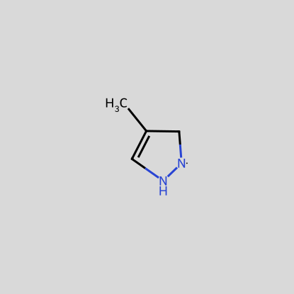 CC1=CN[N]C1